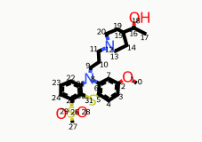 COc1ccc2c(c1)N(CCCN1CCC(C(C)O)CC1)c1cccc(S(C)(=O)=O)c1S2